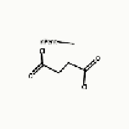 CCCCCC.O=C(Cl)CCC(=O)Cl